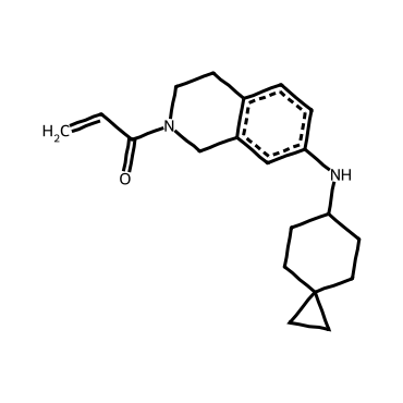 C=CC(=O)N1CCc2ccc(NC3CCC4(CC3)CC4)cc2C1